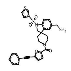 NCc1ccc2c(c1)C1(CCN(C(=O)c3ccc(C#Cc4ccccc4)o3)CC1)CN2S(=O)(=O)c1ccsc1